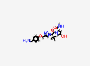 CNC(=O)[C@@H]1C[C@@H](O)CN1C(=O)[C@@H](n1cc(COc2ccc(CN)cc2)nn1)C(C)(C)C